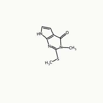 CSc1nc2[nH]ccc2c(=O)n1C